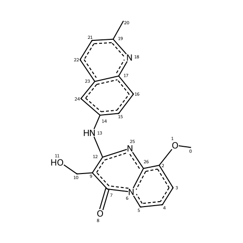 COc1cccn2c(=O)c(CO)c(Nc3ccc4nc(C)ccc4c3)nc12